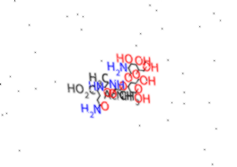 CC(=O)N[C@@H]1[C@@H](OC(C)C(=O)N[C@@H](C)C(=O)N[C@H](CCC(N)=O)C(=O)O)[C@H](O[C@@H]2O[C@H](CO)[C@@H](O)[C@H](O)[C@H]2N)[C@@H](CO)O[C@@H]1O